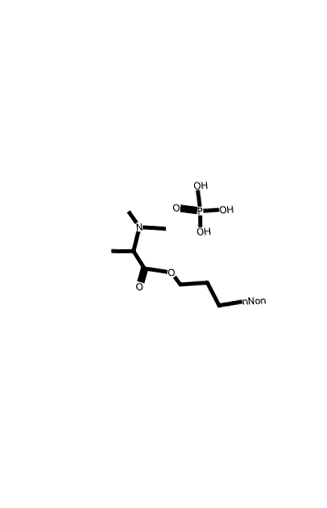 CCCCCCCCCCCCOC(=O)C(C)N(C)C.O=P(O)(O)O